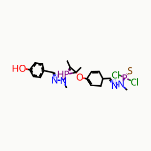 CC1=[PH](N(C)/N=C/c2ccc(O)cc2)C1(C)OC1=CCC(/C=N/N(C)P(=S)(Cl)Cl)C=C1